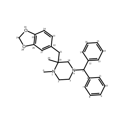 CN1CCN(C(c2ccccc2)c2ccccc2)CC1(C)Cc1ccc2c(c1)OCO2